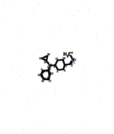 C/N=C\C1CCC(N(c2ccccc2)C2CC2)CC1